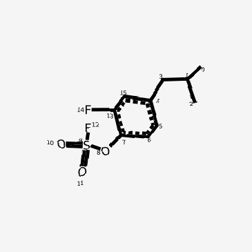 CC(C)Cc1ccc(OS(=O)(=O)F)c(F)c1